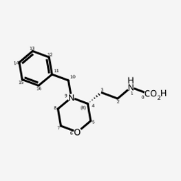 O=C(O)NCC[C@@H]1COCCN1Cc1ccccc1